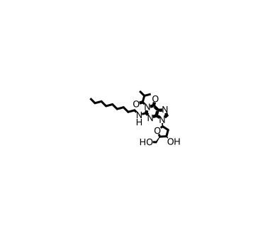 CCCCCCCCCNc1nc2c(ncn2[C@H]2C[C@H](O)[C@@H](CO)O2)c(=O)n1C(=O)C(C)C